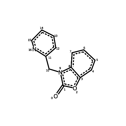 O=c1oc2ccccc2n1Cc1ccccn1